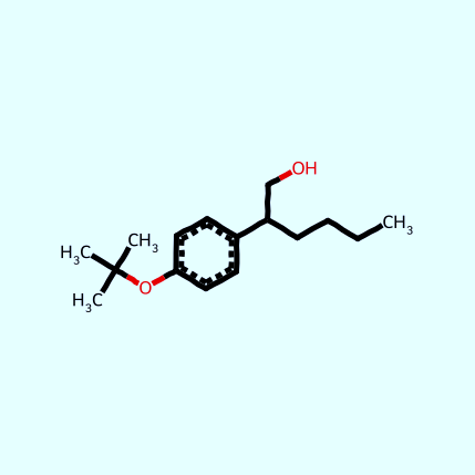 CCCCC(CO)c1ccc(OC(C)(C)C)cc1